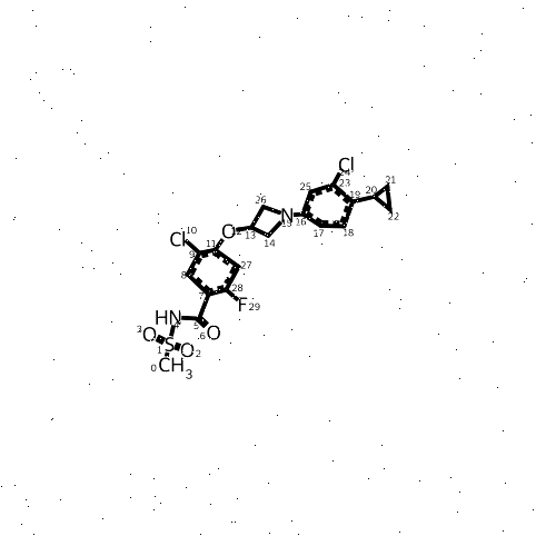 CS(=O)(=O)NC(=O)c1cc(Cl)c(OC2CN(c3ccc(C4CC4)c(Cl)c3)C2)cc1F